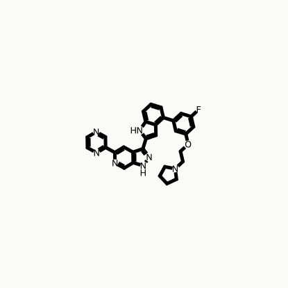 Fc1cc(OCCN2CCCC2)cc(-c2cccc3[nH]c(-c4n[nH]c5cnc(-c6cnccn6)cc45)cc23)c1